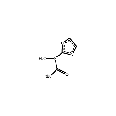 CN(C(=O)C(C)(C)C)c1ncco1